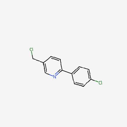 ClCc1ccc(-c2ccc(Cl)cc2)nc1